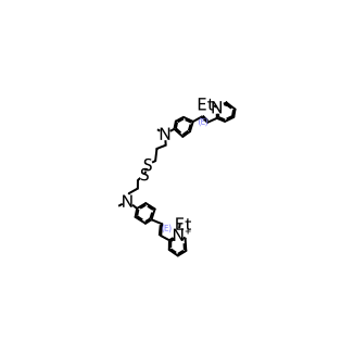 CC[n+]1ccccc1/C=C/c1ccc(N(C)CCCSSCCCN(C)c2ccc(/C=C/c3cccc[n+]3CC)cc2)cc1